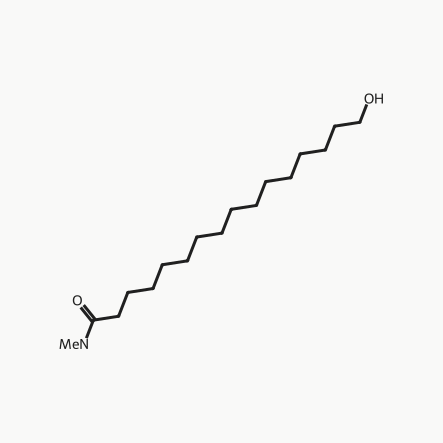 [CH2]NC(=O)CCCCCCCCCCCCCCCO